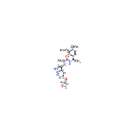 COc1ccc([C@@H](C)NC(=O)/C(C#N)=C/c2c[nH]c3ncc(O[C@@H]4CCOC4)cc23)cc1OC